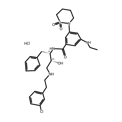 CCNc1cc(C(=O)N[C@@H](Cc2ccccc2)[C@H](O)CNCCc2cccc(Cl)c2)cc(N2CCCCS2(=O)=O)c1.Cl